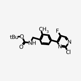 Cc1cc(-c2nc(Cl)ncc2F)ccc1CNC(=O)OC(C)(C)C